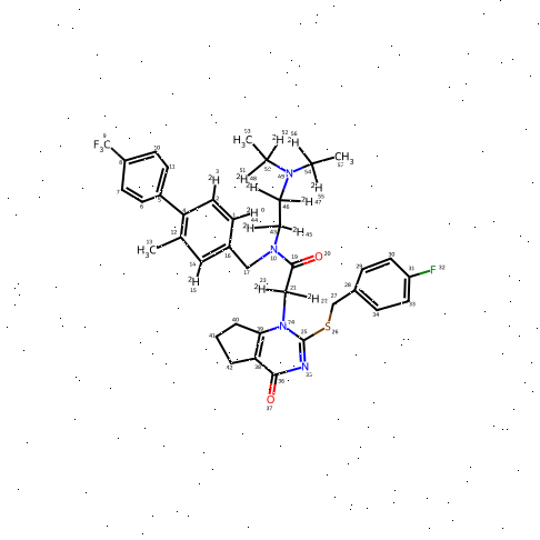 [2H]c1c([2H])c(-c2ccc(C(F)(F)F)cc2)c(C)c([2H])c1CN(C(=O)C([2H])([2H])n1c(SCc2ccc(F)cc2)nc(=O)c2c1CCC2)C([2H])([2H])C([2H])([2H])N(C([2H])([2H])C)C([2H])([2H])C